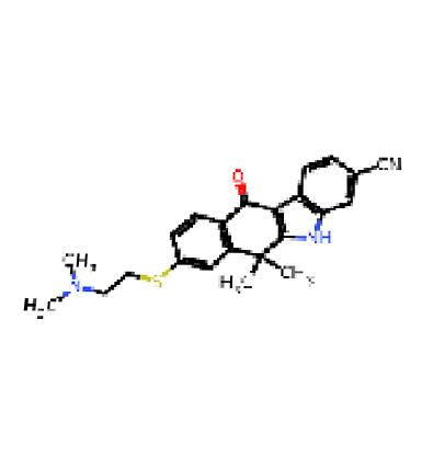 CN(C)CCSc1ccc2c(c1)C(C)(C)c1[nH]c3cc(C#N)ccc3c1C2=O